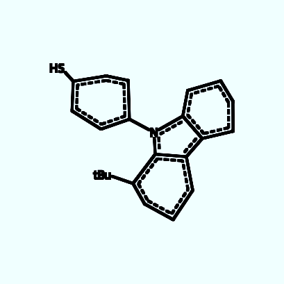 CC(C)(C)c1cccc2c3ccccc3n(-c3ccc(S)cc3)c12